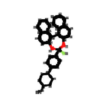 CCCC1CCC(c2ccc(C3(F)Oc4ccc5ccccc5c4-c4c(ccc5ccccc45)O3)cc2)CC1